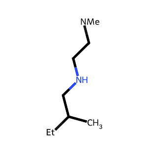 CCC(C)CNCCNC